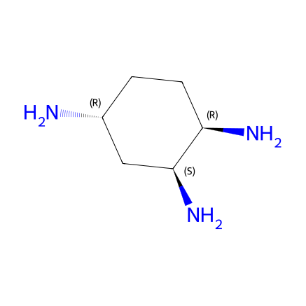 N[C@@H]1CC[C@@H](N)[C@@H](N)C1